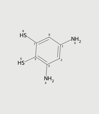 Nc1cc(N)c(S)c(S)c1